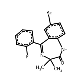 CC(=O)c1ccc2c(c1)C(c1ccccc1F)=NC(C)(C)C(=O)N2